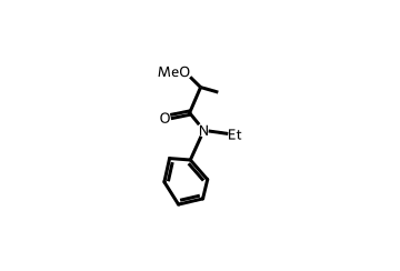 CCN(C(=O)C(C)OC)c1ccccc1